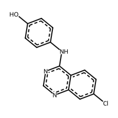 Oc1ccc(Nc2ncnc3cc(Cl)ccc23)cc1